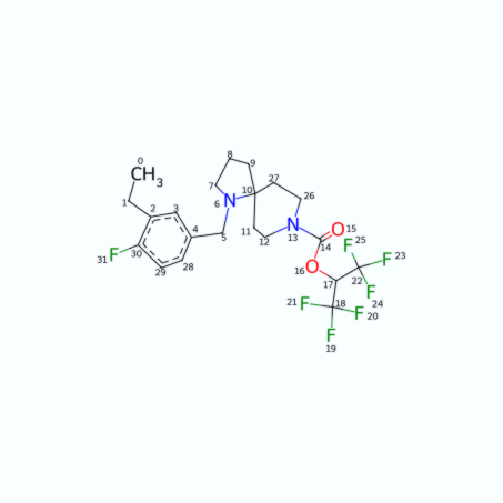 CCc1cc(CN2CCCC23CCN(C(=O)OC(C(F)(F)F)C(F)(F)F)CC3)ccc1F